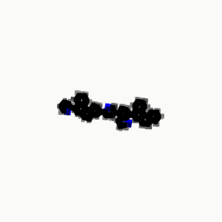 c1ccc(-c2cc3ccc4cc(-c5ccc(-c6ccc(-c7cc8ccc9ccccc9c8c8ccccc78)c7ncccc67)cn5)ccc4c3c3ccccc23)nc1